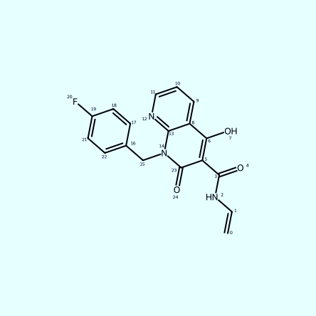 C=CNC(=O)c1c(O)c2cccnc2n(Cc2ccc(F)cc2)c1=O